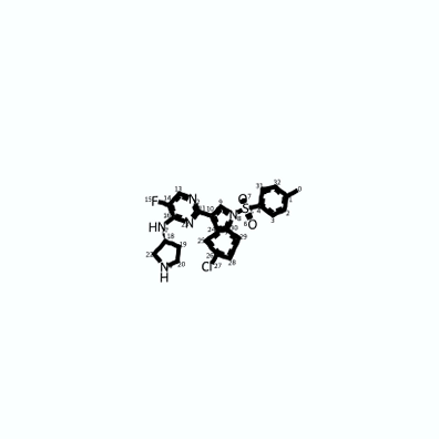 Cc1ccc(S(=O)(=O)n2cc(-c3ncc(F)c(N[C@@H]4CCNC4)n3)c3cc(Cl)ccc32)cc1